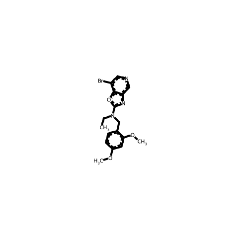 CCN(Cc1ccc(OC)cc1OC)c1nc2cncc(Br)c2o1